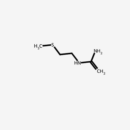 C=C(N)NCCSC